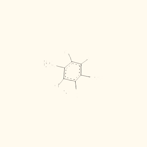 O=C([O-])c1c(Cl)c(Cl)c(C(=O)[O-])c(Cl)c1Cl.[Na+].[Na+]